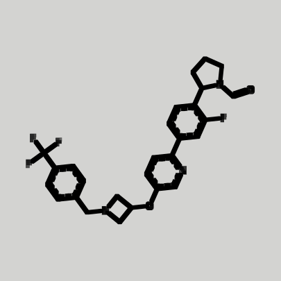 O=CN1CCCC1c1ccc(-c2ccc(OC3CN(Cc4ccc(C(F)(F)F)cc4)C3)cn2)cc1F